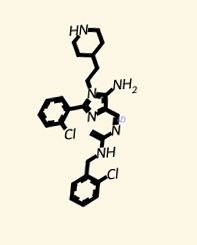 C=C(/N=C\c1nc(-c2ccccc2Cl)n(CCC2CCNCC2)c1N)NCc1ccccc1Cl